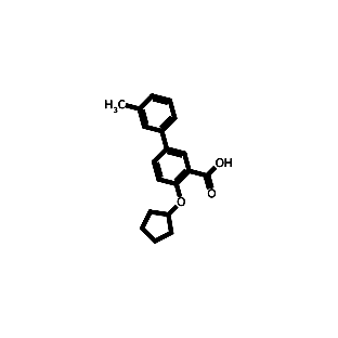 Cc1cccc(-c2ccc(OC3CCCC3)c(C(=O)O)c2)c1